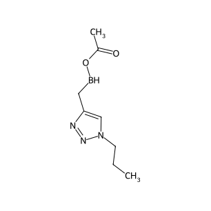 CCCn1cc(CBOC(C)=O)nn1